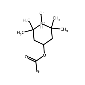 CCC(=O)OC1CC(C)(C)[NH+]([O-])C(C)(C)C1